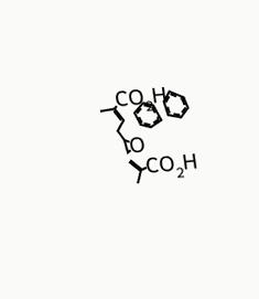 C=C(C)C(=O)O.CC(=CCC1CO1)C(=O)O.c1ccccc1.c1ccccc1